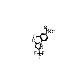 O=C1CC(C(F)(F)F)=NN1c1ccc([N+](=O)[O-])cc1Cl